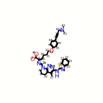 COC(=O)c1nc(N2CCCc3c2nnc(Nc2nc4ccccc4s2)c3C)sc1CCCOc1ccc(C#CCN(C)C)cc1